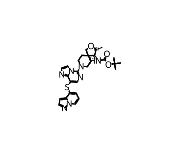 C[C@@H]1OCC2(CCN(c3ncc(Sc4cccn5nccc45)c4nccn34)CC2)[C@@H]1NC(=O)OC(C)(C)C